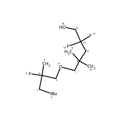 CC(C)(C)CC(C)(F)COCC(C)(C)CC(F)(F)CO